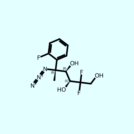 C[C@@](N=[N+]=[N-])(c1ccccc1F)[C@@H](O)[C@H](O)C(F)(F)CO